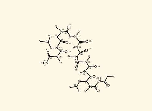 CCC(=O)NC(=O)N(C)C(CC(C)C)C(=O)N(C)C(=O)N(C)C(=O)N(C)C(=O)NC(=O)N(C)CC(=O)N(C)[C@@H](CC(C)C)C(=O)NC(=O)N(C)C(N)=O